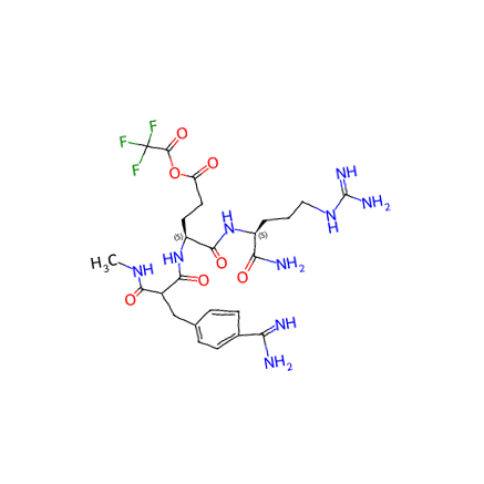 CNC(=O)C(Cc1ccc(C(=N)N)cc1)C(=O)N[C@@H](CCC(=O)OC(=O)C(F)(F)F)C(=O)N[C@@H](CCCNC(=N)N)C(N)=O